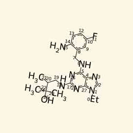 CCn1cnc2c(NCc3cc(F)ccc3N)nc(NCC(C)C(C)(C)O)nc21